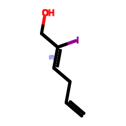 C=CC/C=C(\I)CO